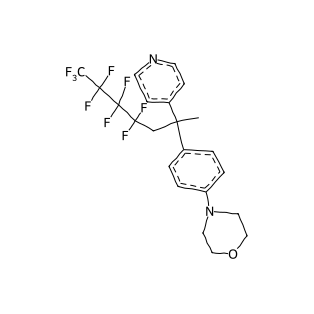 CC(CC(F)(F)C(F)(F)C(F)(F)C(F)(F)F)(c1ccncc1)c1ccc(N2CCOCC2)cc1